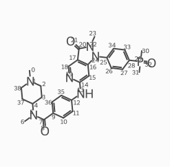 CN1CCC(N(C)C(=O)c2ccc(Nc3cc4c(cn3)c(=O)n(C)n4-c3ccc(P(C)(C)=O)cc3)cc2)CC1